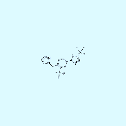 FC(F)(F)c1nc(-c2ccc(Cn3cncn3)c(C(F)(F)F)c2)no1